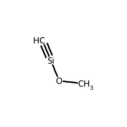 C#[Si]OC